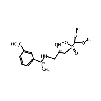 CCOC(OCC)P(=O)(O)C[C@@H](O)CN[C@H](C)c1cccc(C(=O)O)c1